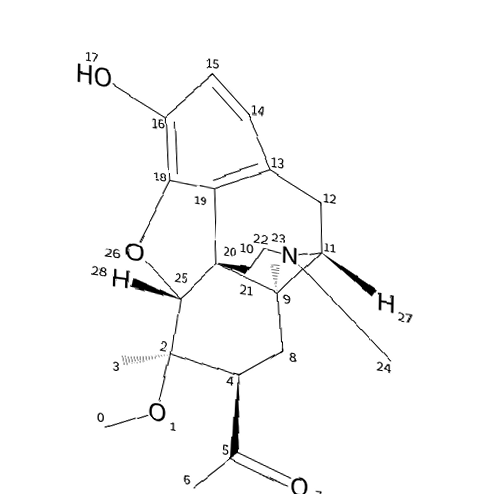 CO[C@]1(C)[C@H](C(C)=O)C[C@]2(C)[C@H]3Cc4ccc(O)c5c4[C@@]2(CCN3C)[C@H]1O5